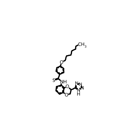 CCCCCCCOc1ccc(C(=S)Nc2cccc3c2OC(c2nnn[nH]2)CO3)cc1